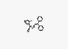 BC=C(c1ccccc1)c1ccccc1.Cc1cncn1CC#N